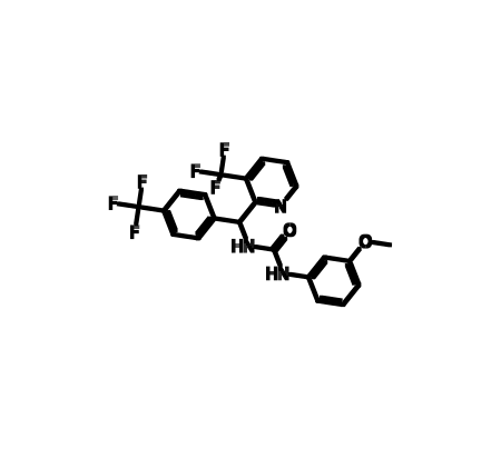 COc1cccc(NC(=O)NC(c2ccc(C(F)(F)F)cc2)c2ncccc2C(F)(F)F)c1